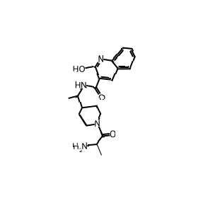 CC(N)C(=O)N1CCC(C(C)NC(=O)c2cc3ccccc3nc2O)CC1